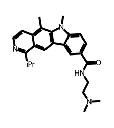 Cc1c2ccnc(C(C)C)c2cc2c3cc(C(=O)NCCN(C)C)ccc3n(C)c12